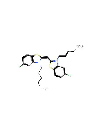 O=S(=O)(O)CCCCN1C(=Cc2sc3ccc(Cl)cc3[n+]2CCCCS(=O)(=O)O)Sc2ccc(Cl)cc21